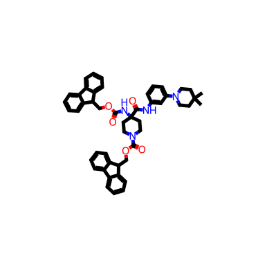 CC1(C)CCN(c2cccc(NC(=O)C3(NC(=O)OCC4c5ccccc5-c5ccccc54)CCN(C(=O)OCC4c5ccccc5-c5ccccc54)CC3)c2)CC1